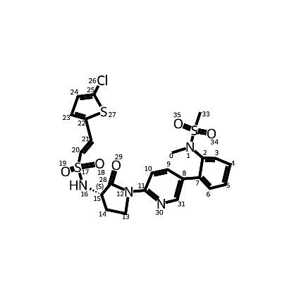 CN(c1ccccc1-c1ccc(N2CC[C@H](NS(=O)(=O)C=Cc3ccc(Cl)s3)C2=O)nc1)S(C)(=O)=O